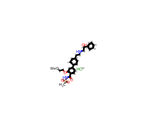 COCCOc1cc(-c2ccc(CCNC[C@H](O)c3ccccc3)cc2)ccc1C(=O)NS(C)(=O)=O.Cl